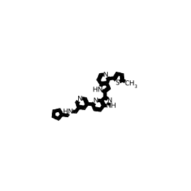 Cc1ccc(-c2nccc3[nH]c(-c4n[nH]c5ccc(-c6cncc(CNCC7CCCC7)c6)nc45)cc23)s1